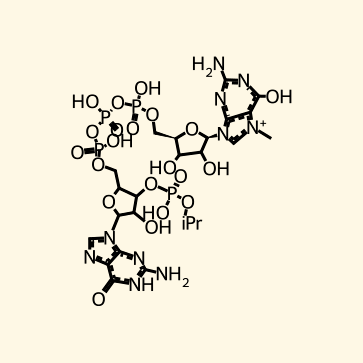 CC(C)OP(=O)(O)OC1C(COP(=O)(O)OP(=O)(O)OP(=O)(O)OC[C@H]2O[C@@H](n3c[n+](C)c4c(O)nc(N)nc43)C(O)C2O)OC(n2cnc3c(=O)[nH]c(N)nc32)C1O